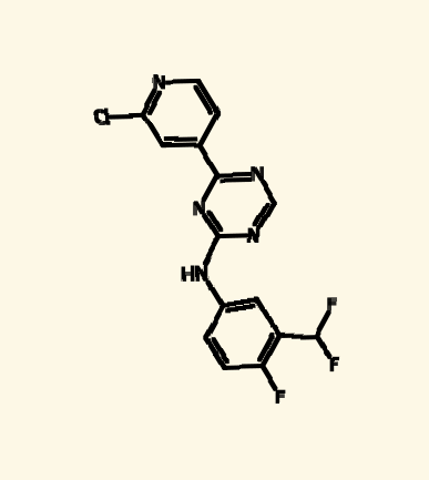 Fc1ccc(Nc2ncnc(-c3ccnc(Cl)c3)n2)cc1C(F)F